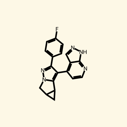 Fc1ccc(-c2nn3c(c2-c2ccnc4[nH]ncc24)C2CC2C3)cc1